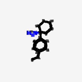 CCc1ccc(C2(N)CCCCC2)cc1